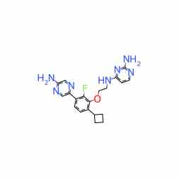 Nc1cnc(-c2ccc(C3CCC3)c(OCCNc3ccnc(N)n3)c2F)cn1